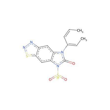 C/C=C\C(=C/C)n1c(=O)n([SH](=O)=O)c2cc3snnc3cc21